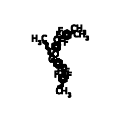 CCCCCCC(Oc1ccc(OC(F)(F)c2c(F)cc(CCC)cc2F)cc1)Oc1ccc(OC(F)(F)c2c(F)cc(C(C)C)cc2F)cc1